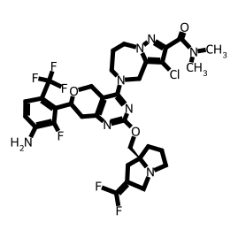 CN(C)C(=O)c1nn2c(c1Cl)CN(c1nc(OC[C@@]34CCCN3CC(=C(F)F)C4)nc3c1COC(c1c(C(F)(F)F)ccc(N)c1F)C3)CCC2